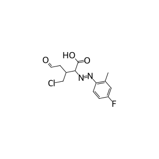 Cc1cc(F)ccc1N=NC(C(=O)O)C(CCl)CC=O